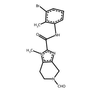 Cc1c(Br)cccc1NC(=O)c1nc2c(n1C)CCN(C=O)C2